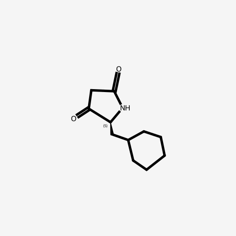 O=C1CC(=O)[C@H](CC2CCCCC2)N1